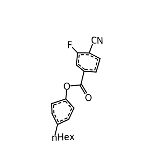 CCCCCCc1ccc(OC(=O)c2ccc(C#N)c(F)c2)cc1